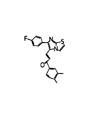 Cc1ccc(C(=O)C=Cc2c(-c3ccc(F)cc3)nc3sccn23)cc1C